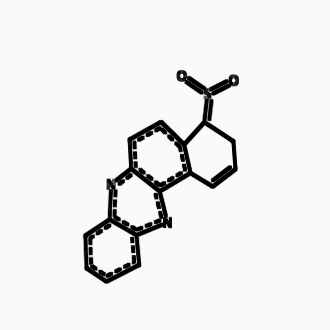 O=S(=O)=C1CC=Cc2c1ccc1nc3ccccc3nc21